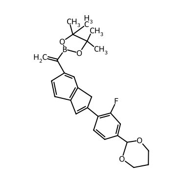 C=C(B1OC(C)(C)C(C)(C)O1)c1ccc2c(c1)CC(c1ccc(C3OCCCO3)cc1F)=C2